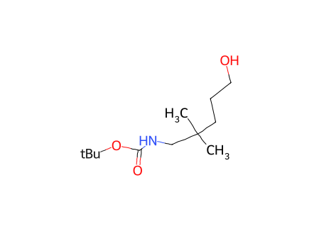 CC(C)(CCCO)CNC(=O)OC(C)(C)C